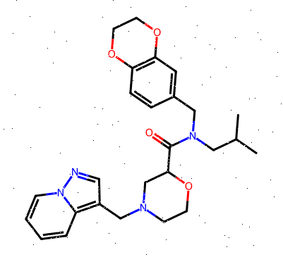 CC(C)CN(Cc1ccc2c(c1)OCCO2)C(=O)C1CN(Cc2cnn3ccccc23)CCO1